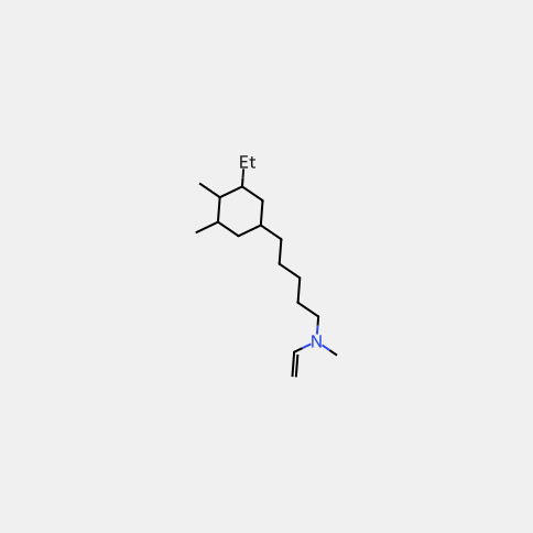 C=CN(C)CCCCCC1CC(C)C(C)C(CC)C1